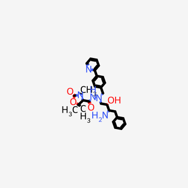 CN1C(=O)OC(C)(C)C1C(=O)NN(Cc1ccc(-c2ccccn2)cc1)CC(O)C(N)Cc1ccccc1